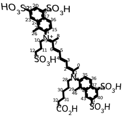 C\C(=C/C=C/C=C/C(C)=[N+](\CCCS(=O)(=O)O)c1ccc2c(S(=O)(=O)O)cc(S(=O)(=O)O)cc2c1C)N(CCCCCC(=O)O)c1ccc2c(S(=O)(=O)O)cc(S(=O)(=O)O)cc2c1C